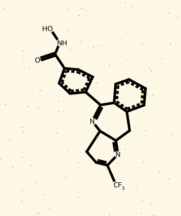 O=C(NO)c1ccc(C2=NC3CC=C(C(F)(F)F)N=C3Cc3ccccc32)cc1